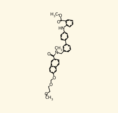 COCCOCOc1ccc2cc(C(=O)N(C)Cc3cccc(-c4ccc(Nc5ccccc5C(=O)OC)cc4)c3)ccc2c1